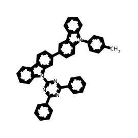 Cc1ccc(-n2c3ccccc3c3cc(-c4ccc5c6ccccc6n(-c6nc(-c7ccccc7)nc(-c7ccccc7)n6)c5c4)ccc32)cc1